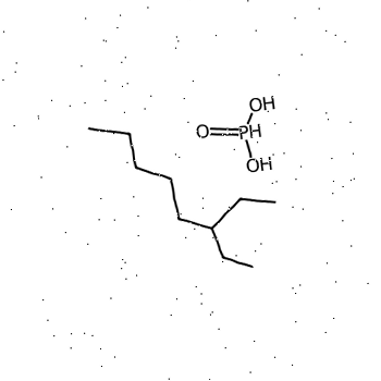 CCCCCC(CC)CC.O=[PH](O)O